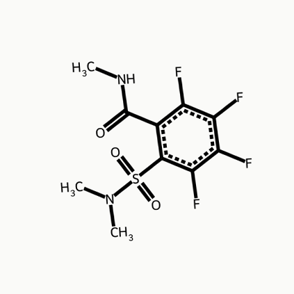 CNC(=O)c1c(F)c(F)c(F)c(F)c1S(=O)(=O)N(C)C